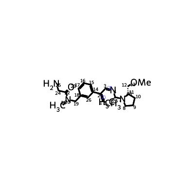 C/C=C(\C=N/C(C)N1CCC[C@H]1COC)c1cccc(CN(C)C(=O)CN)c1